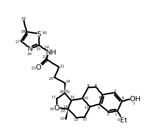 CCc1cc2c(cc1O)CCC1C2CC[C@]2(C)OC[C@@H](CCCC(=O)Nc3ncc(C)s3)C12